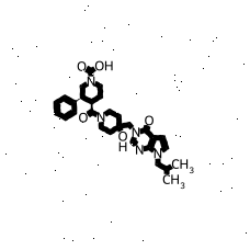 CC(C)Cn1ccc2c(=O)n(CC3(O)CCN(C(=O)[C@@H]4CCN(C(=O)O)C[C@H]4c4ccccc4)CC3)cnc21